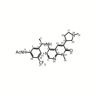 CC(=O)Nc1cc([C@@H](C)Nc2ncnc3c2cc(C2CCN(C)C2)c(=O)n3C)cc(C(F)(F)F)c1